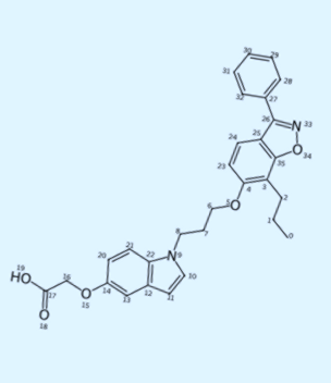 CCCc1c(OCCCn2ccc3cc(OCC(=O)O)ccc32)ccc2c(-c3ccccc3)noc12